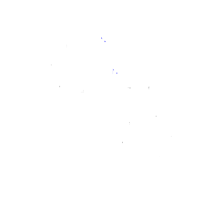 C=Cc1ccc(CC(C)n2cnc3ccccc32)cc1